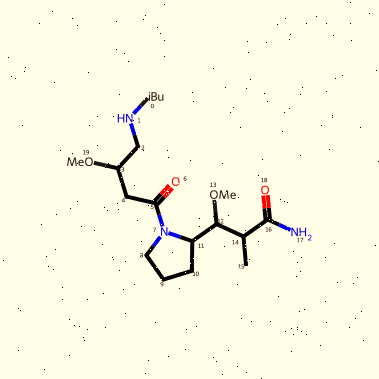 CCC(C)NCC(CC(=O)N1CCCC1C(OC)C(C)C(N)=O)OC